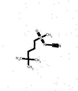 CC(C)(C)CCCS(C)(=O)=NC#N